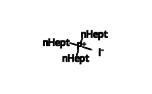 CCCCCCC[P+](C)(CCCCCCC)CCCCCCC.[I-]